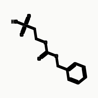 O=C(OCCS(=O)(=O)O)OCc1ccccc1